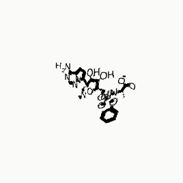 C=NC[C@@]1(c2ccc3c(N)ncnn23)O[C@H](COP(=O)(N[C@@H](C)C(=O)OC)Oc2ccccc2)[C@@H](O)[C@H]1O